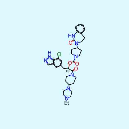 CCN1CCN(C2CCN(C(=O)[C@@H](Cc3cc(Cl)c4[nH]ncc4c3)OC(=O)N3CCC(N4CCc5ccccc5NC4=O)CC3)CC2)CC1